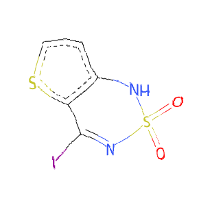 O=S1(=O)N=C(I)c2sccc2N1